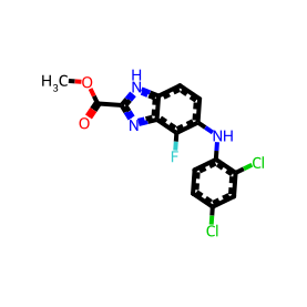 COC(=O)c1nc2c(F)c(Nc3ccc(Cl)cc3Cl)ccc2[nH]1